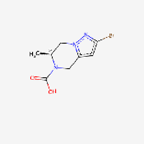 C[C@H]1Cn2nc(Br)cc2CN1C(=O)O